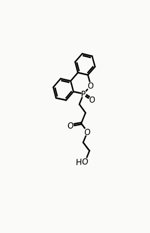 O=C(CCP1(=O)Oc2ccccc2-c2ccccc21)OCCO